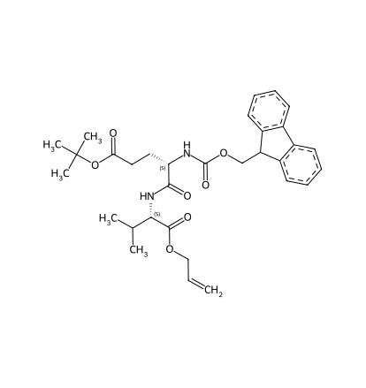 C=CCOC(=O)[C@@H](NC(=O)[C@H](CCC(=O)OC(C)(C)C)NC(=O)OCC1c2ccccc2-c2ccccc21)C(C)C